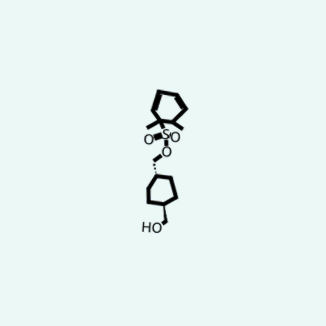 CC1C=CC=CC1(C)S(=O)(=O)OC[C@H]1CC[C@H](CO)CC1